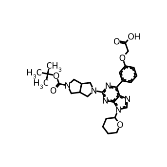 CC(C)(C)OC(=O)N1CC2CN(c3nc(-c4cccc(OCC(=O)O)c4)c4ncn(C5CCCCO5)c4n3)CC2C1